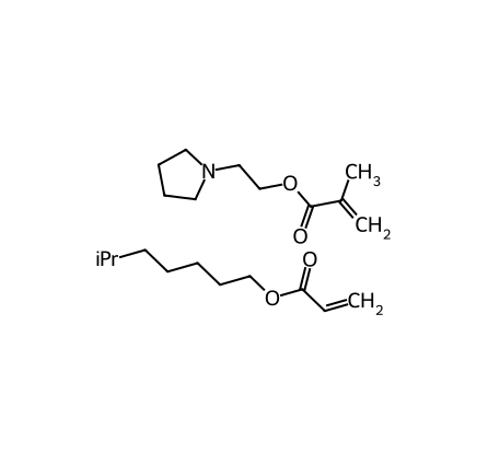 C=C(C)C(=O)OCCN1CCCC1.C=CC(=O)OCCCCCC(C)C